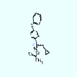 CC(=O)O/N=C(\CC1CC1)c1ccc(Sc2ccccc2)cc1